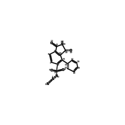 [N-]=[N+]=NS(=O)(=O)c1ccc2c(c1-c1ccccc1)C(=O)NC2=O